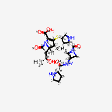 C[C@@H](O)[C@H]1C(=O)N2C(C(=O)O)=C(S[C@@H]3CN[C@H](C(=O)N4CC(NC(=O)[C@@H]5CCCN5)C4)C3)[C@H](C)[C@H]12